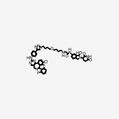 O=C1CCC(N2Cc3ccc(NC(=O)CNCCCCOCCCCn4cc(-c5ccc(Nc6ncc7c(n6)-c6ccc(Cl)cc6C(c6c(F)cccc6F)=NC7)cc5)nn4)cc3C2O)C(=O)N1